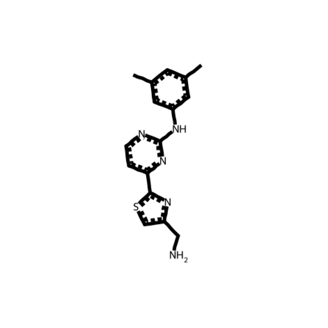 Cc1cc(C)cc(Nc2nccc(-c3nc(CN)cs3)n2)c1